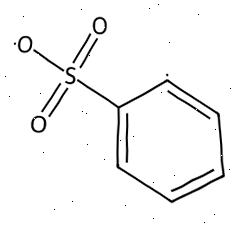 [O]S(=O)(=O)c1[c]cccc1